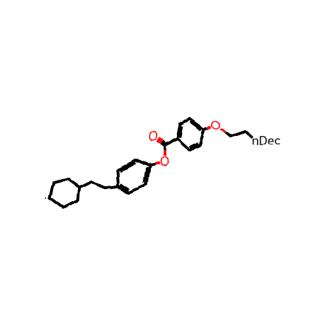 CCCCCCCCCCCCOc1ccc(C(=O)Oc2ccc(CCC3CC[CH]CC3)cc2)cc1